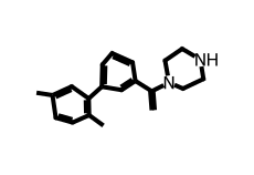 C=C(c1cccc(-c2cc(C)ccc2C)c1)N1CCNCC1